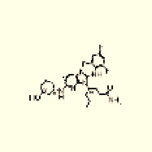 CCC[C@H](CCC(N)=O)n1c(Nc2c(F)cc(F)cc2F)nc2cnc(N[C@H]3CCC[C@H](O)C3)nc21